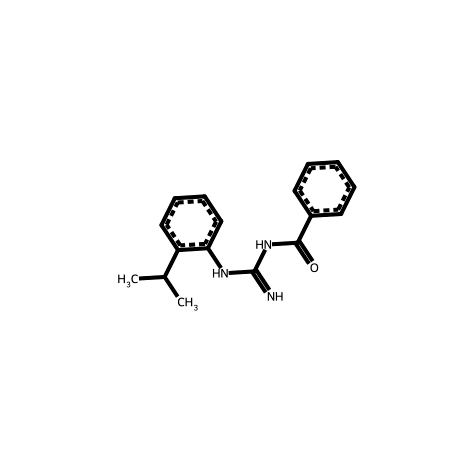 CC(C)c1ccccc1NC(=N)NC(=O)c1ccccc1